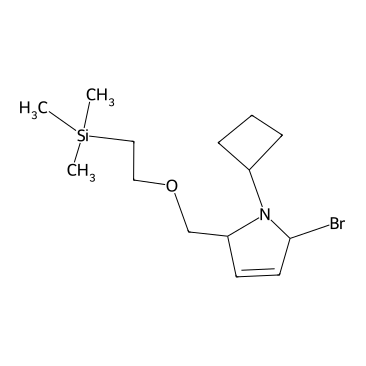 C[Si](C)(C)CCOCC1C=CC(Br)N1C1CCC1